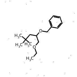 CCOCC(CC(C)(C)C)OCc1ccccc1